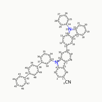 N#Cc1ccc2c(c1)c1ccc(-c3ccc4c(c3)c3ccccc3n4-c3ccccc3)cc1n2-c1cccc(-c2ccc(-c3ccccc3)cc2)c1